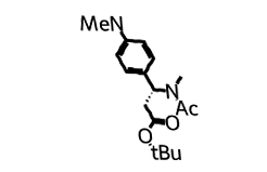 CNc1ccc([C@@H](CC(=O)OC(C)(C)C)N(C)C(C)=O)cc1